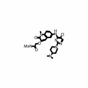 CNC(=O)COc1cc2cc(Nc3nc(N4CCC(N(C)C)CC4)ncc3Cl)ccc2n(C)c1=O